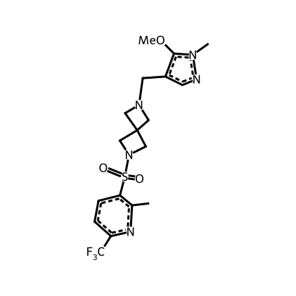 COc1c(CN2CC3(C2)CN(S(=O)(=O)c2ccc(C(F)(F)F)nc2C)C3)cnn1C